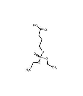 CCOP(=O)(OCC)OCCCC(=O)O